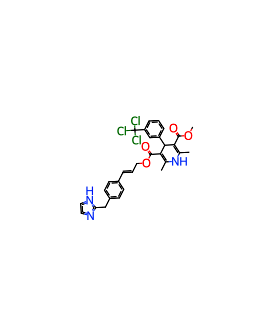 COC(=O)C1=C(C)NC(C)=C(C(=O)OCC=Cc2ccc(Cc3ncc[nH]3)cc2)C1c1cccc(C(Cl)(Cl)Cl)c1